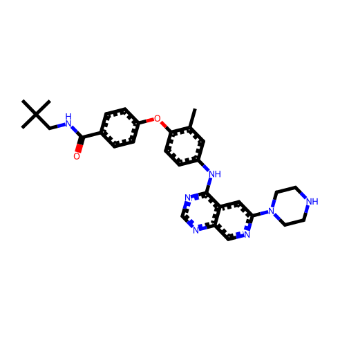 Cc1cc(Nc2ncnc3cnc(N4CCNCC4)cc23)ccc1Oc1ccc(C(=O)NCC(C)(C)C)cc1